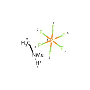 CNC.F[P-](F)(F)(F)(F)F.[H+]